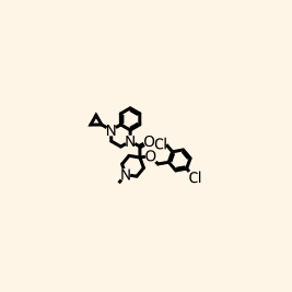 CN1CCC(OCc2cc(Cl)ccc2Cl)(C(=O)N2CCN(C3CC3)c3ccccc32)CC1